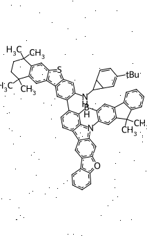 CC(C)(C)C1=CC2C(C=C1)C2Nc1cc2sc3cc4c(cc3c2cc1-c1ccc2c3cc5c(cc3n3c2c1Bc1cc2c(cc1-3)C(C)(C)c1ccccc1-2)oc1ccccc15)C(C)(C)CCC4(C)C